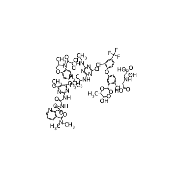 CC1COc2ccccc2N1C(=O)C(Cl)Cl.CCNc1nc(Cl)nc(NC(C)C)n1.COc1cc(OC)nc(NC(=O)NS(=O)(=O)c2ncccc2C(=O)N(C)C)n1.C[C@H](OC(=O)c1cc(Oc2ccc(C(F)(F)F)cc2Cl)ccc1Cl)C(=O)O.O=C(O)CNCP(=O)(O)O